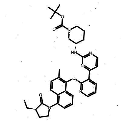 CC[C@@H]1CCN(c2cccc3c(Oc4ncccc4-c4ccnc(N[C@H]5CCCN(C(=O)OC(C)(C)C)C5)n4)c(C)ccc23)C1=O